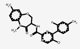 Cc1ccc(-c2nc(C(=O)NC3COc4cc(C)ccc4N(C)C3=O)ncc2Cl)c(F)c1